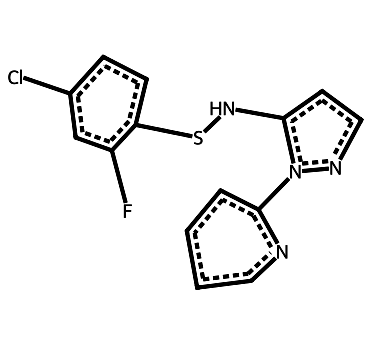 Fc1cc(Cl)ccc1SNc1ccnn1-c1ccccn1